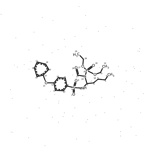 CCCCC(NS(=O)(=O)c1ccc(Oc2ccccc2)cc1)N(C=O)P(=O)(OCC)OCC